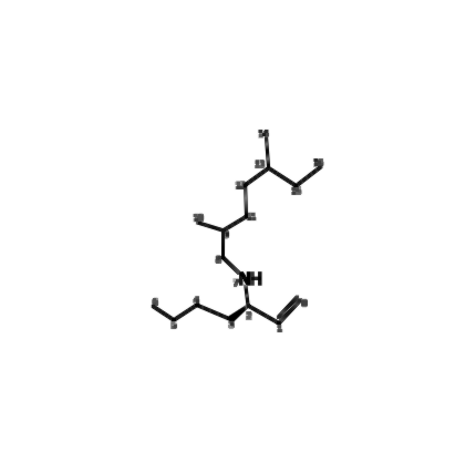 C=C[C@@H](CCCC)NCC(C)CCC(C)CC